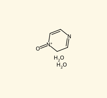 O.O.O=[N+]1C=CN=CC1